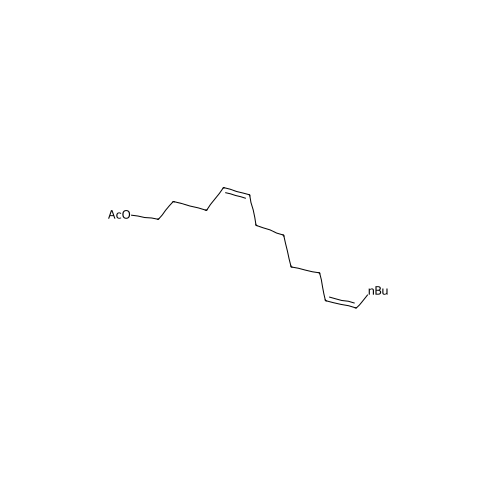 CCCC/C=C\CCCC/C=C\CCCOC(C)=O